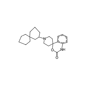 O=C1Nc2ccccc2C2(CCN(C3CCCC4(CCCCC4)C3)CC2)O1